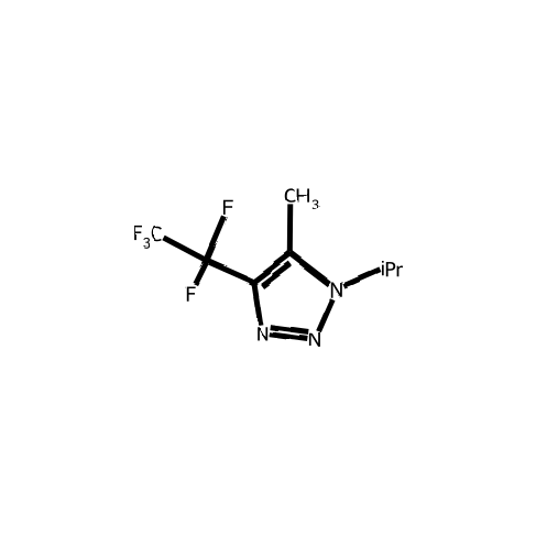 Cc1c(C(F)(F)C(F)(F)F)nnn1C(C)C